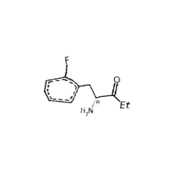 CCC(=O)[C@H](N)Cc1ccccc1F